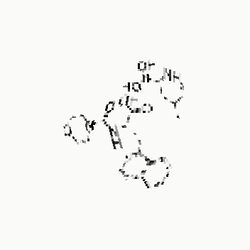 CC(C)C[C@H](N)B(O)O.O=C(O)[C@H](Cc1cccc2ccccc12)NC(=O)N1CCOCC1